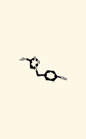 CCC[CH]c1cn(Cc2ccc(OC)cc2)nn1